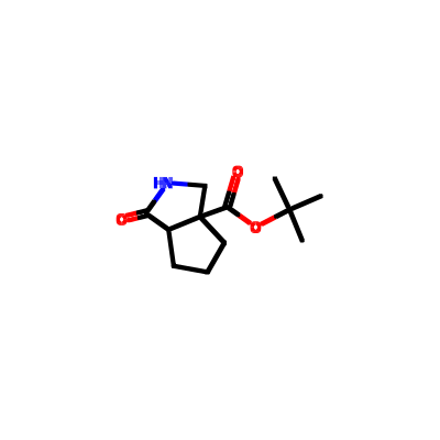 CC(C)(C)OC(=O)C12CCCC1C(=O)NC2